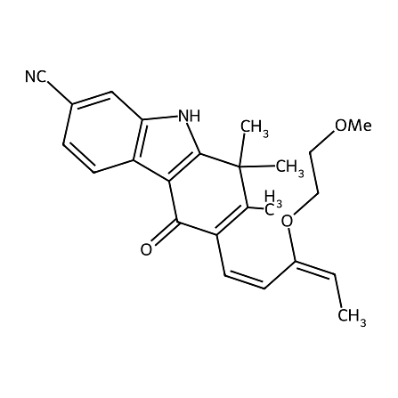 C/C=C(\C=C/C1=C(C)C(C)(C)c2[nH]c3cc(C#N)ccc3c2C1=O)OCCOC